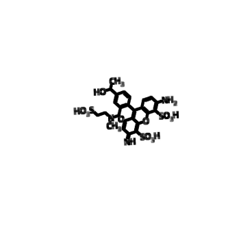 CC(O)c1ccc(-c2c3ccc(=N)c(S(=O)(=O)O)c-3oc3c(S(=O)(=O)O)c(N)ccc23)c(C(=O)N(C)CCS(=O)(=O)O)c1